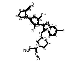 Cc1ccn2c(C[C@H]3CN(C(=C=O)CC#N)CCO3)c(-c3c(F)cc(N4CCCC4=C=O)cc3F)nc2c1